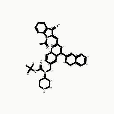 CC(=O)N1C2=C(CCC=C2)C(=O)/C1=C/C1=NC2C=CC(CN(C(=O)OC(C)(C)C)C3CCOCC3)=CC2C(C2=Cc3ccccc3CC2)=C1